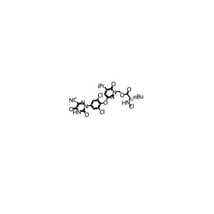 CCCC[C@H](NCl)C(=O)OCn1nc(Oc2c(Cl)cc(-n3nc(C#N)c(=O)[nH]c3=O)cc2Cl)cc(C(C)C)c1=O